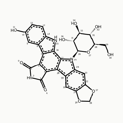 O=C1NC(=O)c2c1c1c3cc(O)ccc3[nH]c1c1c2c2cc3c(cc2n1[C@@H]1O[C@H](CO)[C@@H](O)[C@H](O)[C@H]1O)OCO3